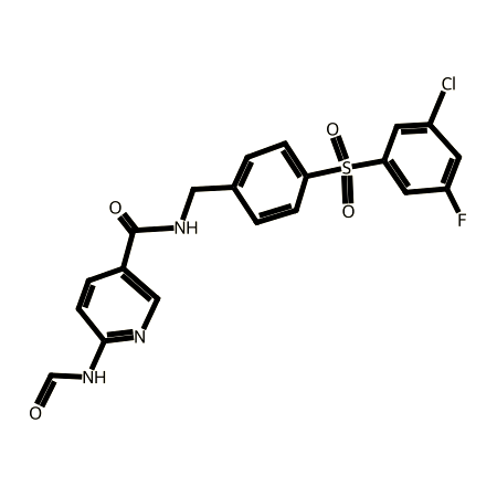 O=CNc1ccc(C(=O)NCc2ccc(S(=O)(=O)c3cc(F)cc(Cl)c3)cc2)cn1